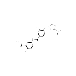 COC(=O)c1cc(NC(=O)c2ccc(CN3CCC(N(C)C)C3)c(C(F)(F)F)c2)ccc1C